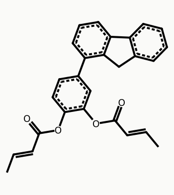 CC=CC(=O)Oc1ccc(-c2cccc3c2Cc2ccccc2-3)cc1OC(=O)C=CC